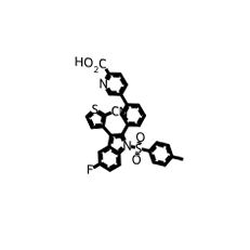 Cc1ccc(S(=O)(=O)n2c(-c3cccc(-c4ccc(C(=O)O)nc4)c3)c(-c3ccsc3C#N)c3cc(F)ccc32)cc1